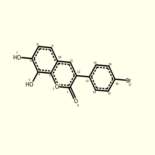 O=c1oc2c(O)c(O)ccc2cc1-c1ccc(Br)cc1